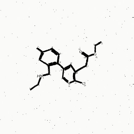 CCNCc1cc(C)ccc1-c1cnc(Cl)c(CC(=O)OCC)c1